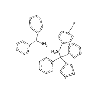 BC(c1ccccc1)c1ccccc1.Fc1ccc([SiH2]C(c2ccccc2)(c2ccccc2)n2ccnc2)cc1